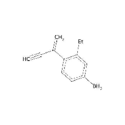 Bc1ccc(C(=C)C#C)c(CC)c1